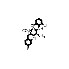 C[C@@H](CC(Cc1ccc(F)cc1Cl)C(=O)O)C(=O)Nc1c(Cl)cccc1Cl